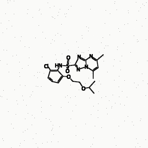 Cc1cc(C)n2nc(S(=O)(=O)Nc3c(Cl)cccc3OCCOC(C)C)nc2n1